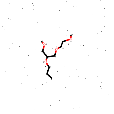 CCCOC(COC)COCCOC